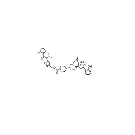 CC(C)C(C(=O)N1CCC[C@@H]1C)c1cc(COC(=O)N2CCC(N3CCN4C(/C=C(\N)c5ccccc5O)=C(N)NCC4C3)CC2)no1